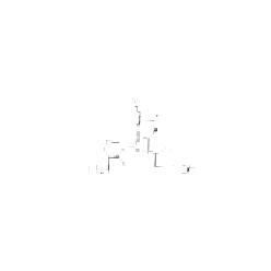 Cc1cc2c(cc1C#N)c(-c1cccc(N)c1C)cn2C1CCC(O)CC1